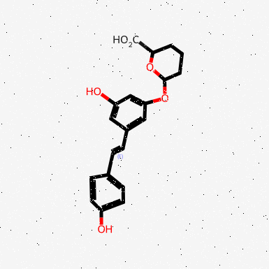 O=C(O)C1CCCC(Oc2cc(O)cc(/C=C/c3ccc(O)cc3)c2)O1